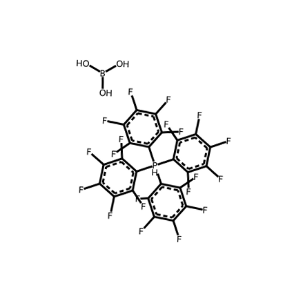 Fc1c(F)c(F)c([PH](c2c(F)c(F)c(F)c(F)c2F)(c2c(F)c(F)c(F)c(F)c2F)c2c(F)c(F)c(F)c(F)c2F)c(F)c1F.OB(O)O